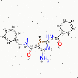 Nc1nc(NC(=O)c2ccccc2)sc1C(=O)NCc1ccccc1